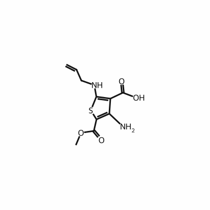 C=CCNc1sc(C(=O)OC)c(N)c1C(=O)O